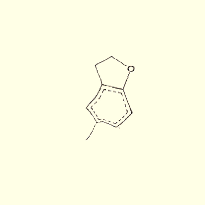 Cc1[c]cc2c(c1)CCO2